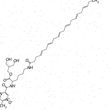 CCC=CCC=CCC=CCC=CCC=CCC=CCCC(=O)NCCCCC(NC(=O)c1c[n+]([O-])c(C)cn1)C(=O)OCC(CO)CO